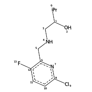 CC(C)C(O)CNCc1nc(Cl)ccc1F